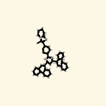 Cc1c(-c2ccc(-c3nc(-c4cc5ccccc5c5ccccc45)cc(-c4cc5ccccc5c5ccccc45)n3)cc2)nc2ccccn12